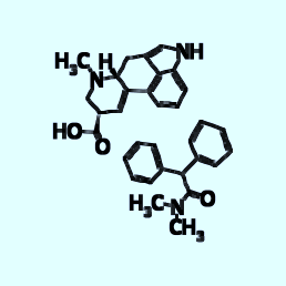 CN(C)C(=O)C(c1ccccc1)c1ccccc1.CN1C[C@H](C(=O)O)C=C2c3cccc4[nH]cc(c34)C[C@H]21